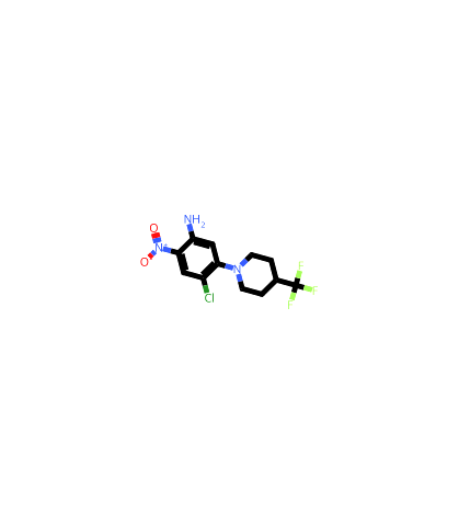 Nc1cc(N2CCC(C(F)(F)F)CC2)c(Cl)cc1[N+](=O)[O-]